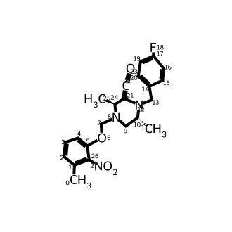 Cc1cccc(OCN2C[C@@H](C)N(Cc3ccc(F)cc3)C(=C=O)[C@@H]2C)c1[N+](=O)[O-]